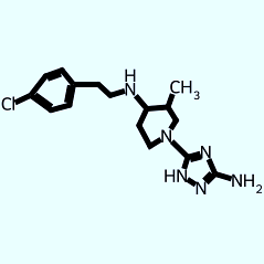 CC1CN(c2nc(N)n[nH]2)CCC1NCCc1ccc(Cl)cc1